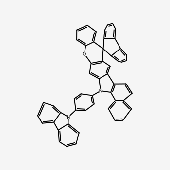 c1ccc2c(c1)Oc1cc3c(cc1C21c2ccccc2-c2ccccc21)c1ccc2ccccc2c1n3-c1ccc(-n2c3ccccc3c3ccccc32)cc1